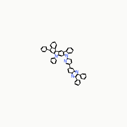 c1ccc(-c2nc3ccc(-c4ccc(-n5c6ccccc6c6cc7c8c9ccccc9c(-c9ccccc9)cc8n(-c8ccccc8)c7cc65)nc4)cc3nc2-c2ccccc2)cc1